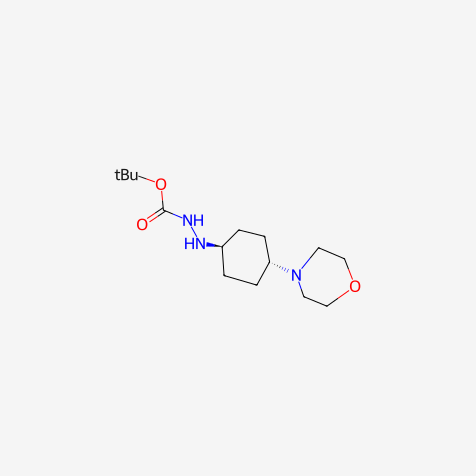 CC(C)(C)OC(=O)NN[C@H]1CC[C@H](N2CCOCC2)CC1